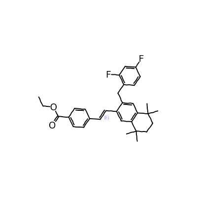 CCOC(=O)c1ccc(/C=C/c2cc3c(cc2Cc2ccc(F)cc2F)C(C)(C)CCC3(C)C)cc1